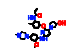 C=CC(=O)Nc1cc(Oc2nc(Nc3ccc(N4CCN(C)CC4)cc3OC)ccc2N2CCC(O)C2)ccc1C